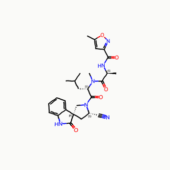 Cc1cc(C(=O)N[C@@H](C)C(=O)N(C)[C@@H](CC(C)C)C(=O)N2C[C@]3(C[C@H]2C#N)C(=O)Nc2ccccc23)no1